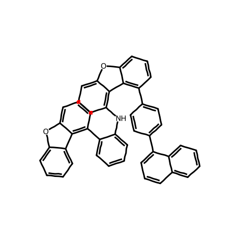 C1=c2oc3cccc(-c4ccc(-c5cccc6ccccc56)cc4)c3c2=C(Nc2ccccc2-c2cccc3oc4ccccc4c23)CC1